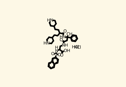 CC(CC(=O)NCC(NS(=O)(=O)c1ccc2ccccc2c1)C(=O)O)(NC(=O)C(CCC1CCNCC1)CCC1CCNCC1)c1ccccc1.Cl.Cl